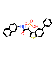 O=C(Nc1ccc2ccccc2c1)C(c1csc2ccc(-c3ccccc3)cc12)P(=O)(O)O